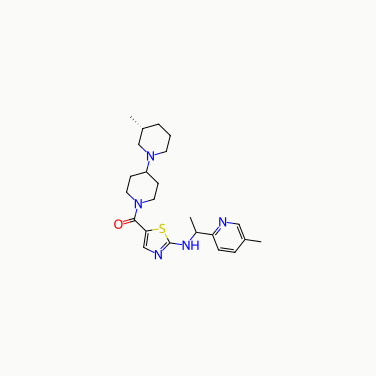 Cc1ccc(C(C)Nc2ncc(C(=O)N3CCC(N4CCC[C@@H](C)C4)CC3)s2)nc1